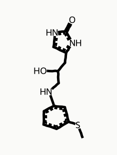 CSc1cccc(NCC(O)Cc2c[nH]c(=O)[nH]2)c1